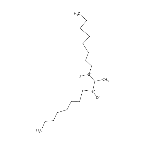 CCCCCCCC[S+]([O-])C(C)[S+]([O-])CCCCCCCC